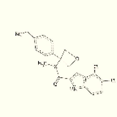 CN(C(=O)c1cc2c(Cl)c(Cl)ccc2[nH]1)C1(c2ccc(CC#N)cc2)COC1